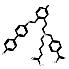 O=C(O)CCCCN(CCc1cc(F)ccc1COc1ccc(-c2ccc(F)cc2)cc1)Cc1ccc(C(=O)O)cc1